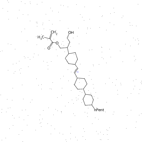 C=C(C)C(=O)OCC(CCO)C1CCC(/C=C/C2CCC(C3CCC(CCCCC)CC3)CC2)CC1